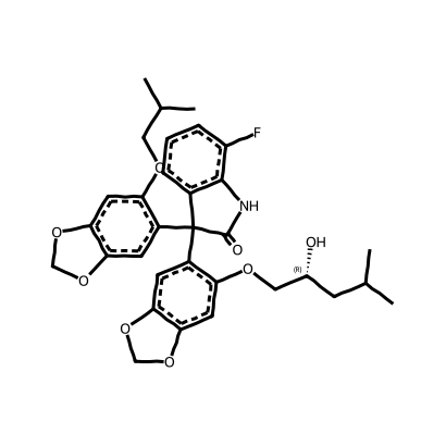 CC(C)COc1cc2c(cc1C1(c3cc4c(cc3OC[C@H](O)CC(C)C)OCO4)C(=O)Nc3c(F)cccc31)OCO2